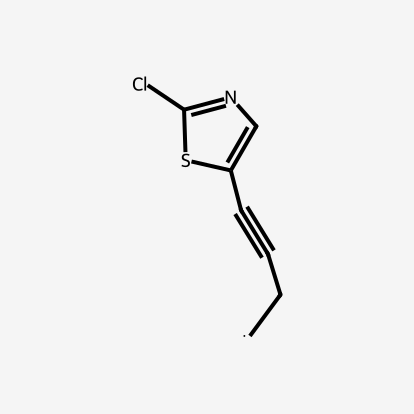 [CH2]CC#Cc1cnc(Cl)s1